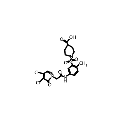 Cc1ccc(NC(=O)Cn2ncc(Cl)c(Cl)c2=O)cc1S(=O)(=O)N1CCC(C(=O)O)CC1